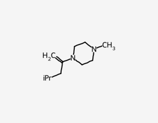 C=C(CC(C)C)N1CCN(C)CC1